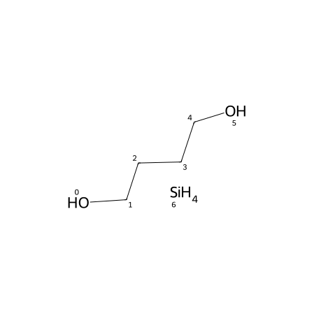 OCCCCO.[SiH4]